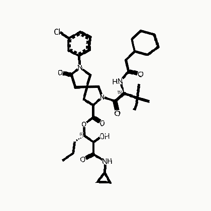 CCC[C@H](OC(=O)C1CC2(CC(=O)N(c3cccc(Cl)c3)C2)CN1C(=O)[C@@H](NC(=O)CC1CCCCC1)C(C)(C)C)C(O)C(=O)NC1CC1